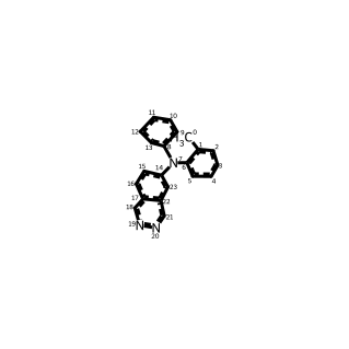 Cc1ccccc1N(c1ccccc1)c1ccc2cnncc2c1